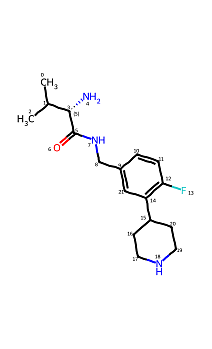 CC(C)[C@H](N)C(=O)NCc1ccc(F)c(C2CCNCC2)c1